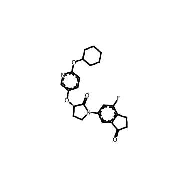 O=C1CCc2c(F)cc(N3CC[C@@H](Oc4ccc(OC5CCCCC5)nc4)C3=O)cc21